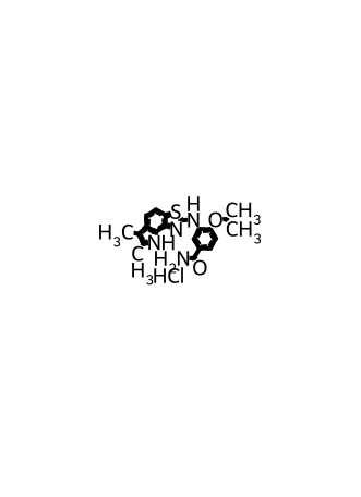 Cc1[nH]c2c(ccc3sc(Nc4cc(C(N)=O)ccc4OC(C)C)nc32)c1C.Cl